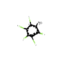 O=Nc1c(F)c(F)c(F)c(F)c1F